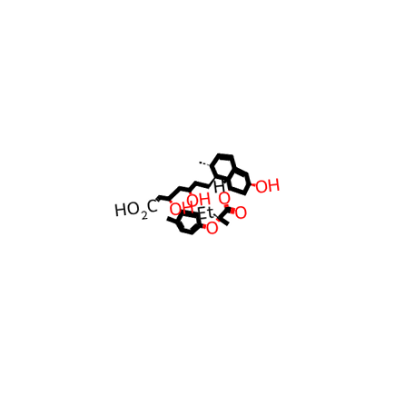 CC[C@](C)(Oc1ccc(C)cc1)C(=O)O[C@H]1C[C@H](O)C=C2C=C[C@@H](C)[C@H](CC[C@@H](O)C[C@@H](O)CC(=O)O)[C@H]21